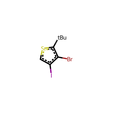 CC(C)(C)c1scc(I)c1Br